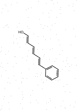 OC=CC=CC=Cc1ccccc1